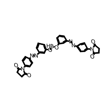 O=C1CCC(=O)N1c1ccc(N=Nc2cccc(OBOc3cccc(N=Nc4ccc(N5C(=O)CCC5=O)cc4)c3)c2)cc1